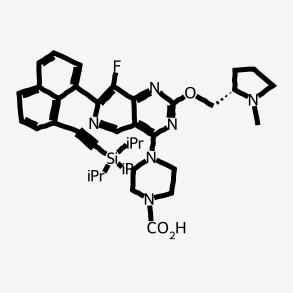 CC(C)[Si](C#Cc1cccc2cccc(-c3ncc4c(N5CCN(C(=O)O)CC5)nc(OC[C@@H]5CCCN5C)nc4c3F)c12)(C(C)C)C(C)C